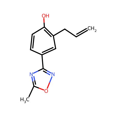 C=CCc1cc(-c2noc(C)n2)ccc1O